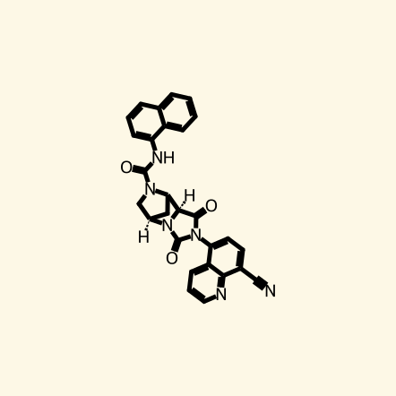 N#Cc1ccc(N2C(=O)[C@@H]3C4C[C@H](CN4C(=O)Nc4cccc5ccccc45)N3C2=O)c2cccnc12